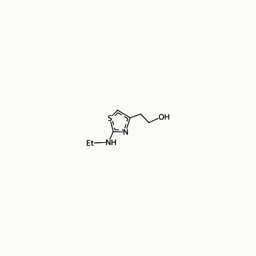 CCNc1nc(CCO)cs1